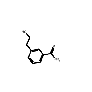 NC(=O)c1cccc(CCO)c1